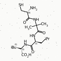 CC[C@H](C)[C@H](NC(=O)[C@H](CC(C)C)NC(=O)C(C)(C)NC(=O)[C@@H](N)CS)C(=O)O